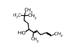 C/C=C/C/C=C(\C)C(O)CCC(C)(C)C